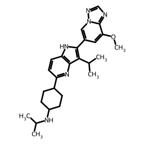 COc1cc(-c2[nH]c3ccc(C4CCC(NC(C)C)CC4)nc3c2C(C)C)cn2ncnc12